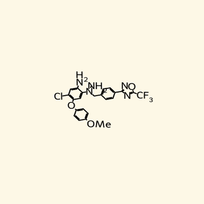 COc1ccc(Oc2cc(N(N)Cc3ccc(-c4noc(C(F)(F)F)n4)cc3)c(N)cc2Cl)cc1